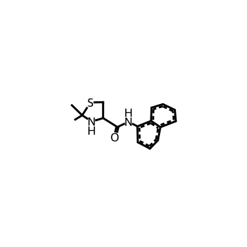 CC1(C)NC(C(=O)Nc2cccc3ccccc23)CS1